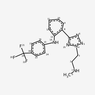 CNCCn1nnc(-c2ccccc2Nc2ccc(C(F)(F)F)cc2)n1